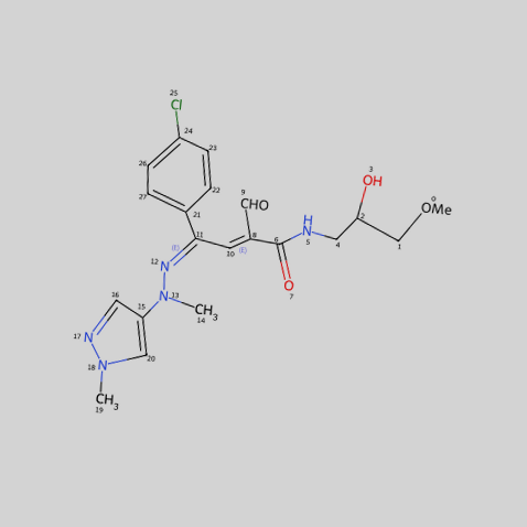 COCC(O)CNC(=O)/C(C=O)=C/C(=N\N(C)c1cnn(C)c1)c1ccc(Cl)cc1